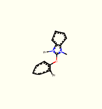 CC(C)c1ccccc1Oc1n(C)c2ccccc2[n+]1C(C)C